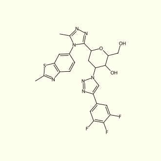 Cc1nc2ccc(-n3c(C)nnc3C3CC(n4cc(-c5cc(F)c(F)c(F)c5)nn4)C(O)C(CO)O3)cc2s1